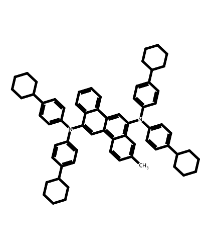 Cc1ccc2c(c1)c(N(c1ccc(C3CCCCC3)cc1)c1ccc(C3CCCCC3)cc1)cc1c3ccccc3c(N(c3ccc(C4CCCCC4)cc3)c3ccc(C4CCCCC4)cc3)cc21